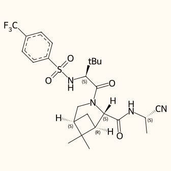 C[C@@H](C#N)NC(=O)[C@@H]1[C@@H]2C[C@H](CN1C(=O)[C@@H](NS(=O)(=O)c1ccc(C(F)(F)F)cc1)C(C)(C)C)C2(C)C